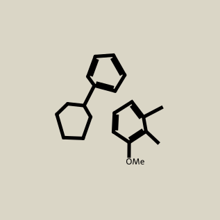 COc1cccc(C)c1C.c1ccc(C2CCCCC2)cc1